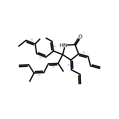 C=C/C=C1/C(=O)NC(/C(C)=C/C=C(/C)C=C)(C(/C=C\C(C)=C/C)=C/C)/C1=C/C=C